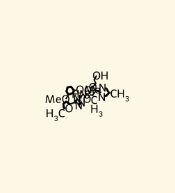 COc1cccc(OC)c1-n1c(NS(=O)(=O)C(C)C(OCCO)c2ncc(C)cn2)nnc1-c1ccc(C)o1